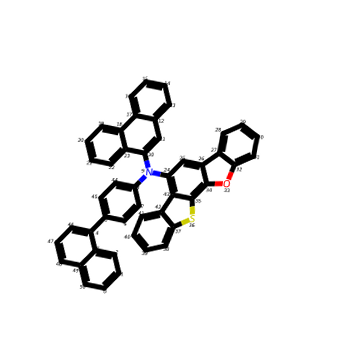 c1ccc2c(-c3ccc(N(c4cc5ccccc5c5ccccc45)c4cc5c6ccccc6oc5c5sc6ccccc6c45)cc3)cccc2c1